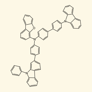 c1ccc(-n2c3ccccc3c3ccc(-c4ccc(N(c5ccc(-c6ccc(-n7c8ccccc8c8ccccc87)cc6)cc5)c5cccc6c5oc5ccccc56)cc4)cc32)cc1